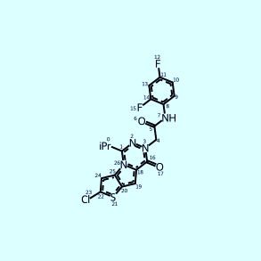 CC(C)c1nn(CC(=O)Nc2ccc(F)cc2F)c(=O)c2cc3sc(Cl)cc3n12